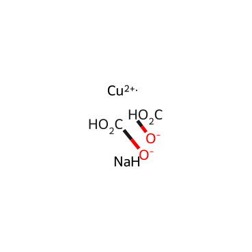 O=C([O-])O.O=C([O-])O.[Cu+2].[NaH]